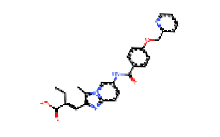 CCC(=Cc1nc2ccc(NC(=O)c3ccc(OCc4ccccn4)cc3)cn2c1C)C(=O)O